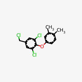 Cc1ccc(Oc2c(Cl)cc(CCl)cc2Cl)cc1C